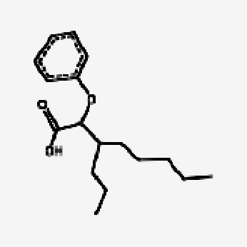 CCCCCC(CCC)C(Oc1ccccc1)C(=O)O